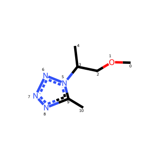 COCC(C)n1nnnc1C